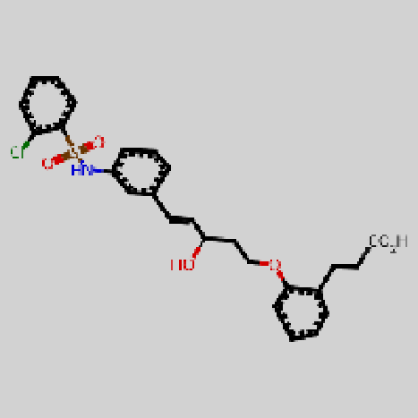 O=C(O)CCc1ccccc1OCC[C@@H](O)/C=C/c1cccc(NS(=O)(=O)c2ccccc2Cl)c1